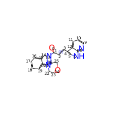 O=C(/C=C/c1c[nH]c2ncccc12)NCc1ccccc1N1CCOCC1